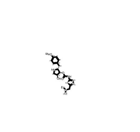 CCN(CC)Cc1nnc(NC(=O)O[C@@H]2[C@@H](O)CN[C@@H]2Cc2ccc(OC)cc2)s1